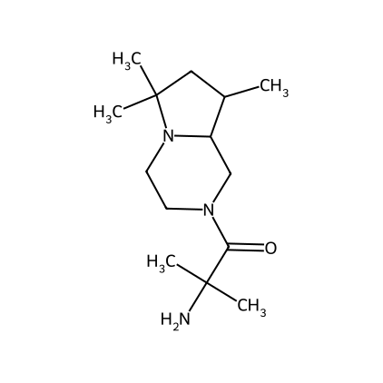 CC1CC(C)(C)N2CCN(C(=O)C(C)(C)N)CC12